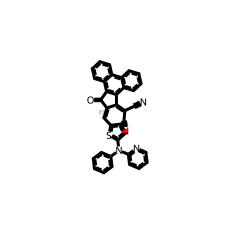 N#CC(C#N)=C1/C(=C\c2ccc(N(c3ccccc3)c3ccccn3)s2)C(=O)c2c1c1ccccc1c1ccccc21